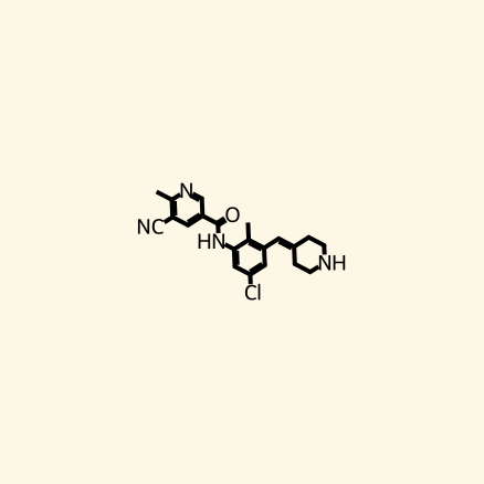 Cc1ncc(C(=O)Nc2cc(Cl)cc(C=C3CCNCC3)c2C)cc1C#N